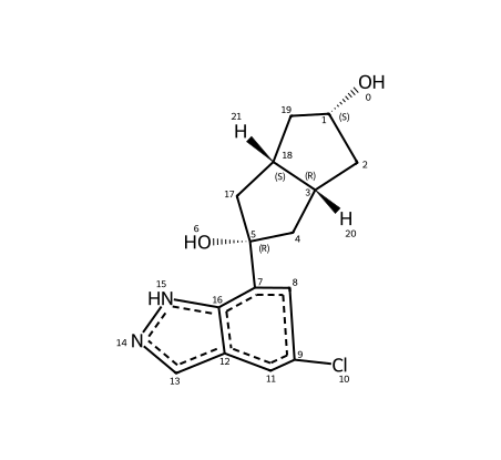 O[C@@H]1C[C@@H]2C[C@@](O)(c3cc(Cl)cc4cn[nH]c34)C[C@@H]2C1